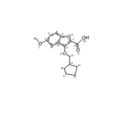 COc1ccc2oc(C(=O)O)c(OCC3CCCC3)c2c1